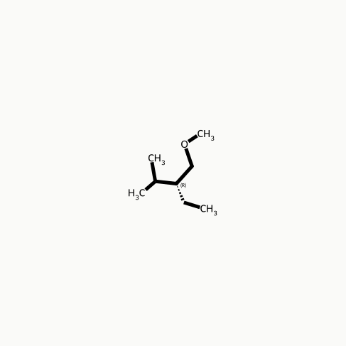 CC[C@@H](COC)C(C)C